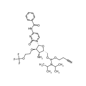 CC(C)N(C(C)C)P(OCCC#N)OC[C@H]1O[C@@H](n2ccc(NC(=O)c3ccccc3)nc2=O)[C@H](OCCOC(F)(F)F)[C@@H]1N